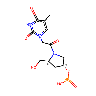 Cc1cn(CC(=O)N2C[C@H](O[PH](=O)O)C[C@H]2CO)c(=O)[nH]c1=O